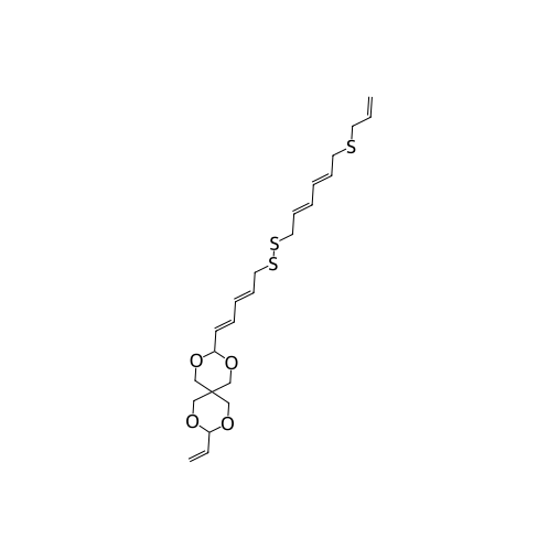 C=CCSC/C=C/C=C/CSSC/C=C/C=C/C1OCC2(COC(C=C)OC2)CO1